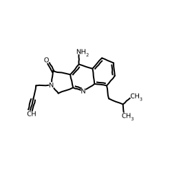 C#CCN1Cc2nc3c(CC(C)C)cccc3c(N)c2C1=O